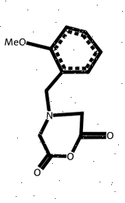 COc1ccccc1CN1CC(=O)OC(=O)C1